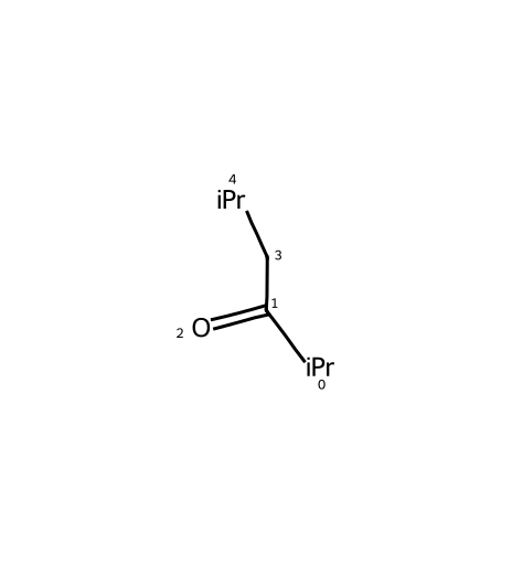 [CH2]C(C)C(=O)CC(C)C